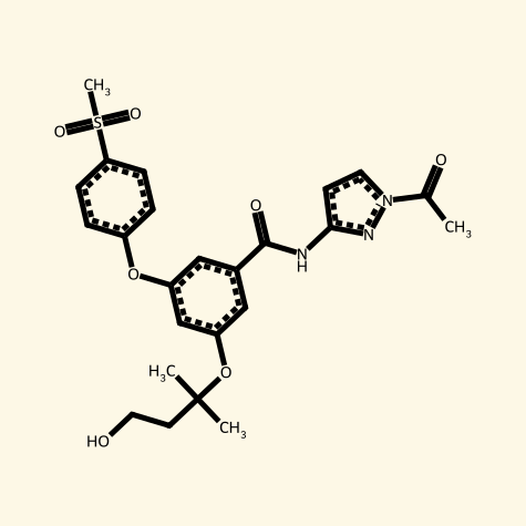 CC(=O)n1ccc(NC(=O)c2cc(Oc3ccc(S(C)(=O)=O)cc3)cc(OC(C)(C)CCO)c2)n1